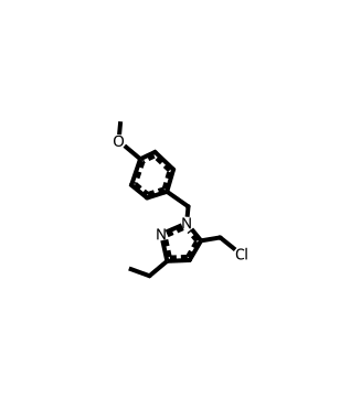 CCc1cc(CCl)n(Cc2ccc(OC)cc2)n1